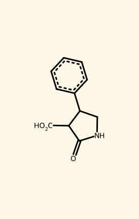 O=C(O)C1C(=O)NCC1c1ccccc1